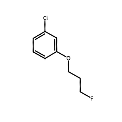 FCCCOc1[c]ccc(Cl)c1